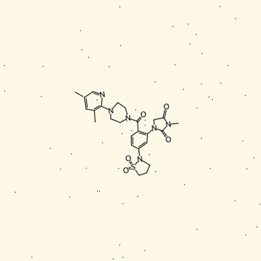 Cc1cnc(N2CCN(C(=O)c3ccc(N4CCCS4(=O)=O)cc3N3CC(=O)N(C)C3=O)CC2)c(C)c1